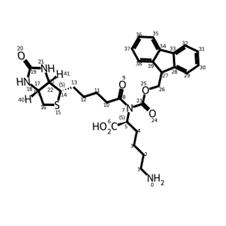 NCCCC[C@@H](C(=O)O)N(C(=O)CCCC[C@@H]1SC[C@@H]2NC(=O)N[C@@H]21)C(=O)OCC1c2ccccc2-c2ccccc21